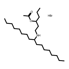 Br.CCCCCCCCC(CCCCCCCC)NCCC(CCC)OC(C)=O